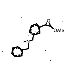 COC1OC1c1cccc(CNCc2ccccc2)c1